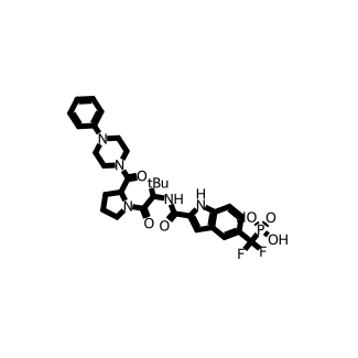 CC(C)(C)C(NC(=O)c1cc2cc(C(F)(F)P(=O)(O)O)ccc2[nH]1)C(=O)N1CCCC1C(=O)N1CCN(c2ccccc2)CC1